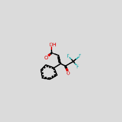 O=C(O)/C=C(/C(=O)C(F)(F)F)c1ccccc1